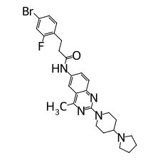 Cc1nc(N2CCC(N3CCCC3)CC2)nc2ccc(NC(=O)CCc3ccc(Br)cc3F)cc12